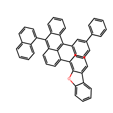 c1ccc(-c2cccc(-c3c4ccccc4c(-c4cccc5ccccc45)c4cccc(-c5cccc6c5oc5ccccc56)c34)c2)cc1